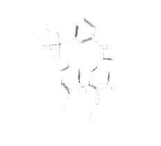 O=C1Nc2cccc(c2)C23CNCCN2c2cc(F)c(Cl)c(c2C3)-c2c1cnc(OCCO)c2F